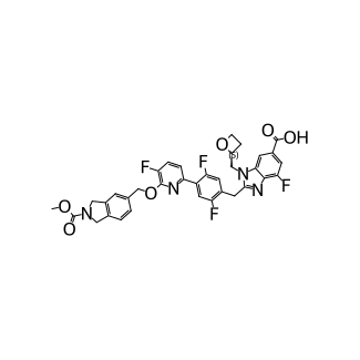 COC(=O)N1Cc2ccc(COc3nc(-c4cc(F)c(Cc5nc6c(F)cc(C(=O)O)cc6n5C[C@@H]5CCO5)cc4F)ccc3F)cc2C1